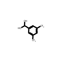 OC(O)c1cc(C(F)(F)F)cc(C(F)(F)F)c1